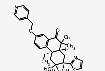 CC[C@@]12C[C@@](C)(O)[C@@](O)(c3nccs3)C[C@H]1C(C)(C)C(=O)c1cc(OCc3ccncc3)ccc12